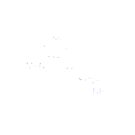 CNc1ccccc1CCC(=O)NN